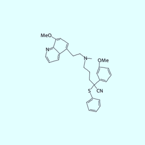 COc1cccc(C(C#N)(CCCN(C)CCc2ccc(OC)c3ncccc23)Sc2ccccc2)c1